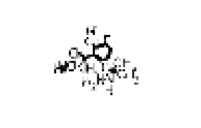 CC(C)(C)NN.Cc1c(F)cccc1C(=O)Cl.Cl.Cl